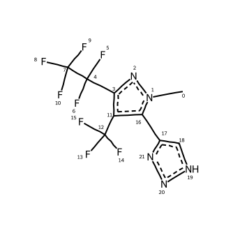 Cn1nc(C(F)(F)C(F)(F)F)c(C(F)(F)F)c1-c1c[nH]nn1